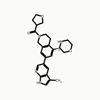 Cc1c[nH]c2ncc(-c3cc4c(c([C@@H]5COCCN5)c3)CCN(C(=O)C3CCOC3)C4)cc12